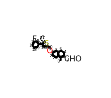 CC1=C(C=O)CCc2cc(OCc3cc(-c4ccccc4)c(C(F)(F)F)s3)ccc21